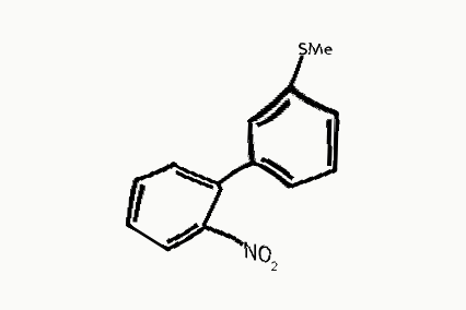 CSc1cccc(-c2ccccc2[N+](=O)[O-])c1